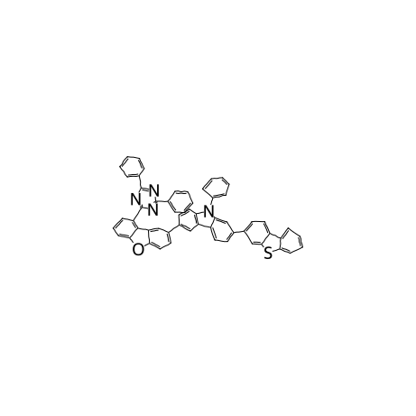 c1ccc(-c2nc(-c3ccccc3)nc(-c3cccc4oc5ccc(-c6ccc7c(c6)c6ccc(-c8ccc9c(c8)sc8ccccc89)cc6n7-c6ccccc6)cc5c34)n2)cc1